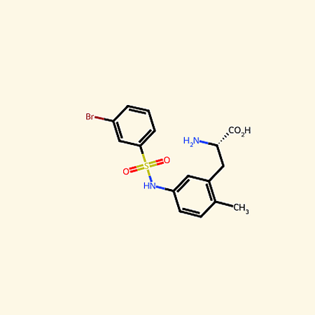 Cc1ccc(NS(=O)(=O)c2cccc(Br)c2)cc1C[C@H](N)C(=O)O